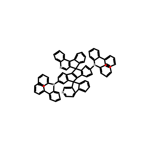 c1ccc(-c2ccccc2N(c2ccccc2)c2ccc3c(c2)C2(C4=C3C3(c5cc(N(c6ccccc6)c6ccccc6-c6ccccc6)ccc54)c4ccccc4-c4c3cnc3ccccc43)c3ccccc3-c3ccncc32)cc1